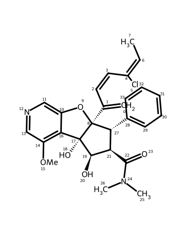 C=C(/C=C\C(Cl)=C/C)[C@@]12Oc3cncc(OC)c3[C@]1(O)[C@H](O)[C@H](C(=O)N(C)C)[C@H]2c1ccccc1